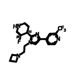 F[C@H]1CNCC[C@H]1c1nc(-c2ccnc(C(F)(F)F)c2)cn1CCN1CCC1